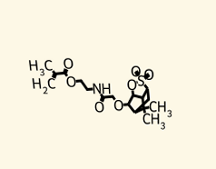 C=C(C)C(=O)OCCNC(=O)COC1C2OS(=O)(=O)C3CC1C(C)(C)C23